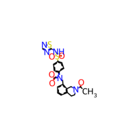 CC(=O)N1CCc2cccc(Cn3c(=O)oc4cc(S(=O)(=O)Nc5ncns5)ccc43)c2C1